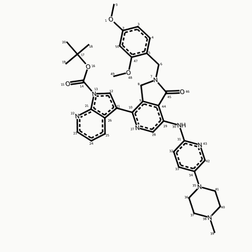 COc1ccc(CN2Cc3c(-c4cn(C(=O)OC(C)(C)C)c5ncccc45)ncc(Nc4ccc(N5CCN(C)CC5)cn4)c3C2=O)c(OC)c1